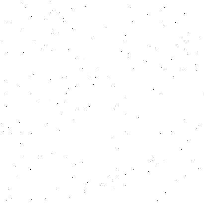 C[C@H]1c2c(cc(F)c(Cl)c2B2OC(C)(C)C(C)(C)O2)O[C@]1(CNC(=O)O)c1ccccc1